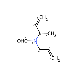 C=CCN(C=O)C(C)C=C